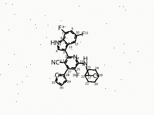 N#Cc1c(-c2c[nH]c3c(F)cc(F)cc23)nc(NC2CC3CCC2CC3)c(F)c1-c1ccco1